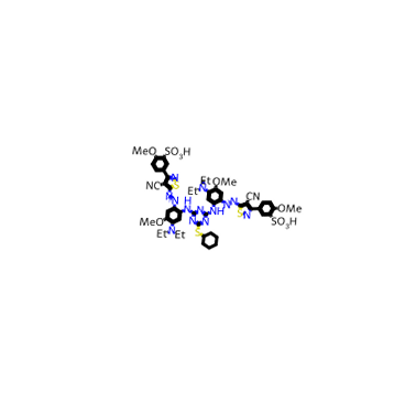 CCN(CC)c1cc(Nc2nc(Nc3cc(N(CC)CC)c(OC)cc3/N=N/c3snc(-c4ccc(OC)c(S(=O)(=O)O)c4)c3C#N)nc(SC3CCCCC3)n2)c(/N=N/c2snc(-c3ccc(OC)c(S(=O)(=O)O)c3)c2C#N)cc1OC